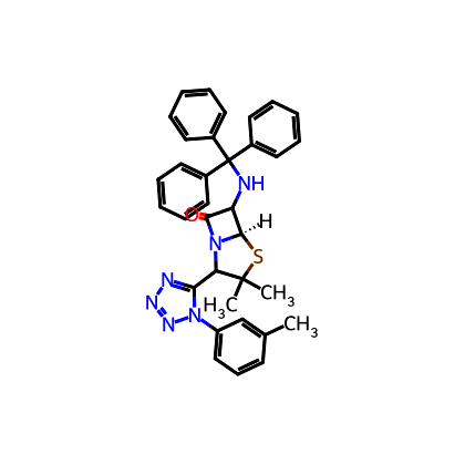 Cc1cccc(-n2nnnc2C2N3C(=O)C(NC(c4ccccc4)(c4ccccc4)c4ccccc4)[C@H]3SC2(C)C)c1